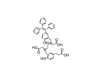 O=C(O)CCc1ccc(O)c(CN(CCN(CC(=O)O)Cc2cc(C(=C(c3ccccc3)c3ccccc3)c3ccccc3)ccc2O)CC(=O)O)c1